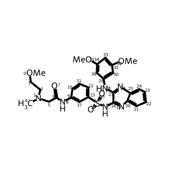 COCCN(C)CC(=O)Nc1cccc(S(=O)(=O)Nc2nc3ccccc3nc2Nc2cc(OC)cc(OC)c2)c1